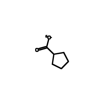 O=C([6O])C1CCCC1